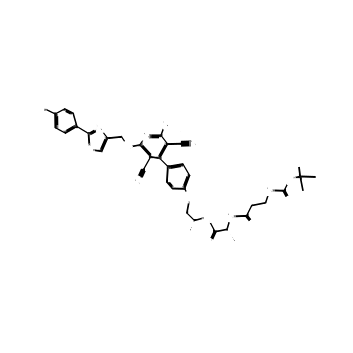 [CH2][C@@H](COc1ccc(-c2c(C#N)c(N)nc(SCc3coc(-c4ccc(Cl)cc4)n3)c2C#N)cc1)OC(=O)[C@H](C)NC(=O)CCNC(=O)OC(C)(C)C